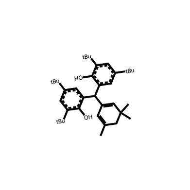 CC1=CC(C(c2cc(C(C)(C)C)cc(C(C)(C)C)c2O)c2cc(C(C)(C)C)cc(C(C)(C)C)c2O)=CC(C)(C)C1